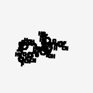 C=CC(C)(O)C1CCc2c(cn(CC#CC(C)(O)C3CCc4c(cn(C/C=C\CC(O)C5CCc6c(cn(C)c6C(=O)Nc6ccc(F)c(C#N)c6)S(=O)(=O)N5)c4C(=O)Nc4ccc(F)c(C#N)c4)S(=O)(=O)N3)c2C(=O)Nc2ccc(F)c(C#N)c2)S(=O)(=O)N1